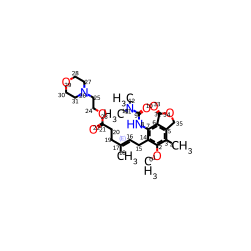 COc1c(C)c2c(c(NC(=O)N(C)C)c1C/C=C(\C)CCC(=O)OCCN1CCOCC1)C(=O)OC2